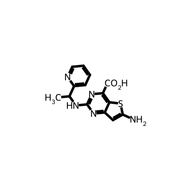 CC(Nc1nc(C(=O)O)c2sc(N)cc2n1)c1ccccn1